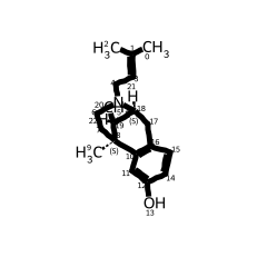 CC(C)=CCN1CC[C@]2(C)c3cc(O)ccc3C[C@H]1[C@@H]2C